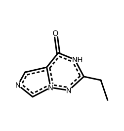 CCc1nn2cncc2c(=O)[nH]1